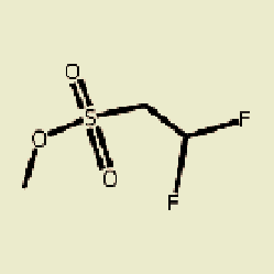 COS(=O)(=O)CC(F)F